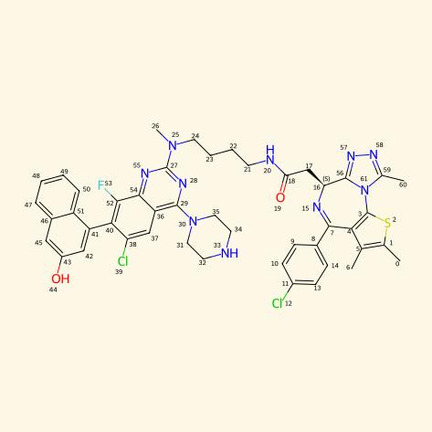 Cc1sc2c(c1C)C(c1ccc(Cl)cc1)=N[C@@H](CC(=O)NCCCCN(C)c1nc(N3CCNCC3)c3cc(Cl)c(-c4cc(O)cc5ccccc45)c(F)c3n1)c1nnc(C)n1-2